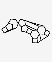 C1CC2(C3C4CC1C1CC3C14)C1C3C4CC5C4C46C7C(CC7C54)C4C5CC2C27C5C4C62C3C17